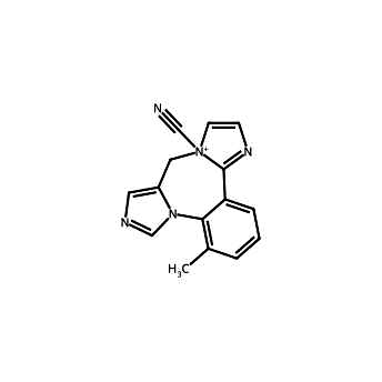 Cc1cccc2c1-n1cncc1C[N+]1(C#N)C=CN=C21